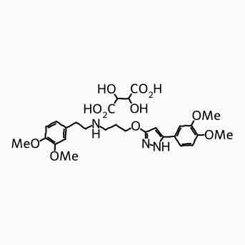 COc1ccc(CCNCCCOc2cc(-c3ccc(OC)c(OC)c3)[nH]n2)cc1OC.O=C(O)C(O)C(O)C(=O)O